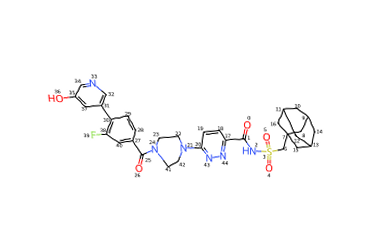 O=C(NS(=O)(=O)CC12CC3CC(CC(C3)C1)C2)c1ccc(N2CCN(C(=O)c3ccc(-c4cncc(O)c4)c(F)c3)CC2)nn1